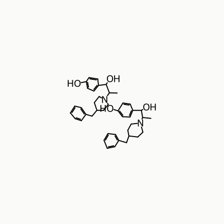 CC(C(O)c1ccc(O)cc1)N1CCC(Cc2ccccc2)CC1.CC(C(O)c1ccc(O)cc1)N1CCC(Cc2ccccc2)CC1